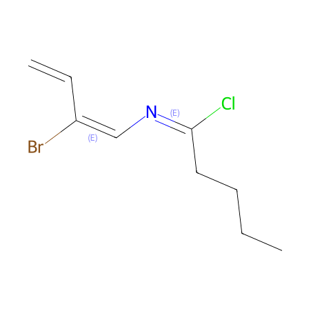 C=C/C(Br)=C\N=C(\Cl)CCCC